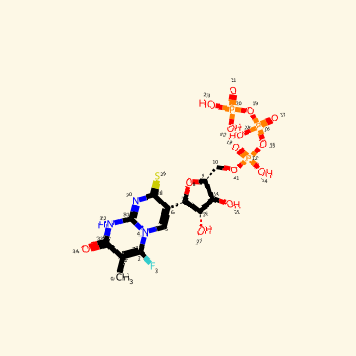 Cc1c(F)n2cc([C@@H]3O[C@H](COP(=O)(O)OP(=O)(O)OP(=O)(O)O)C(O)[C@@H]3O)c(=S)nc2[nH]c1=O